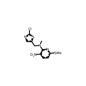 CSc1ccc([N+](=O)[O-])c(N(C)Cc2cnc(Cl)s2)n1